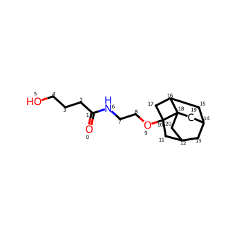 O=C(CCCO)NCCOC12CC3CC4CC(C1)C2(C4)C3